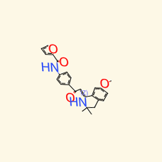 COc1ccc2c(c1)/C(=C/C(=O)c1ccc(NC(=O)c3ccco3)cc1)NC(C)(C)C2